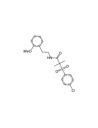 COc1ccccc1CCNC(=O)C(C)(C)S(=O)(=O)c1ccc(Cl)cc1